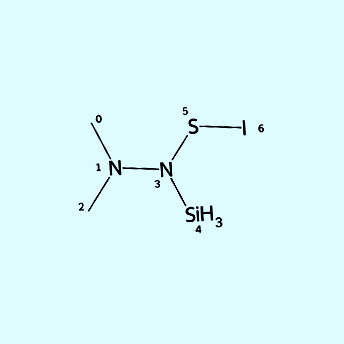 CN(C)N([SiH3])SI